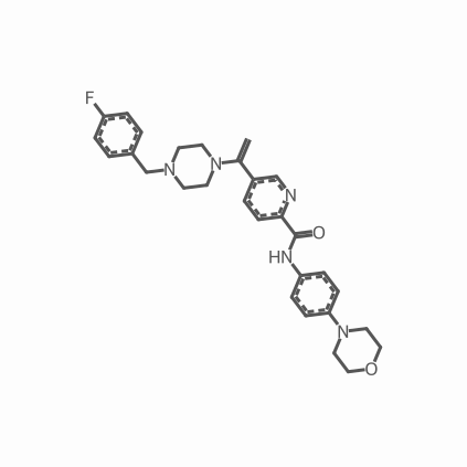 C=C(c1ccc(C(=O)Nc2ccc(N3CCOCC3)cc2)nc1)N1CCN(Cc2ccc(F)cc2)CC1